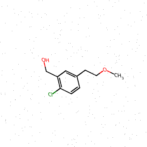 COCCc1ccc(Cl)c(CO)c1